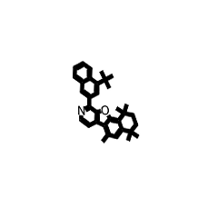 Cc1cc2c(c3oc4c(-c5cc(C(C)(C)C)c6ccccc6c5)nccc4c13)C(C)(C)CCC2(C)C